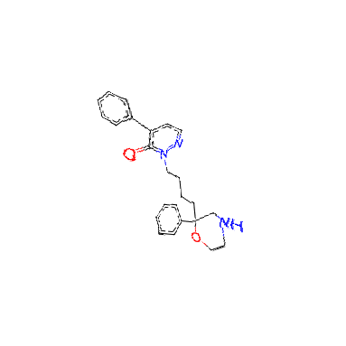 O=c1c(-c2ccccc2)ccnn1CCCCC1(c2ccccc2)CNCCO1